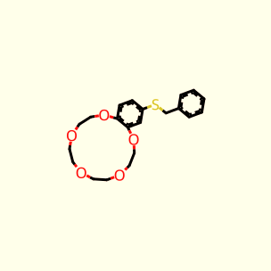 c1ccc(CSc2ccc3c(c2)OCCOCCOCCOCCO3)cc1